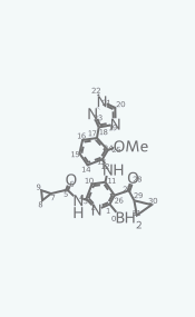 Bc1nc(NC(=O)C2CC2)cc(Nc2cccc(-c3ncn(C)n3)c2OC)c1C(=O)C1CC1